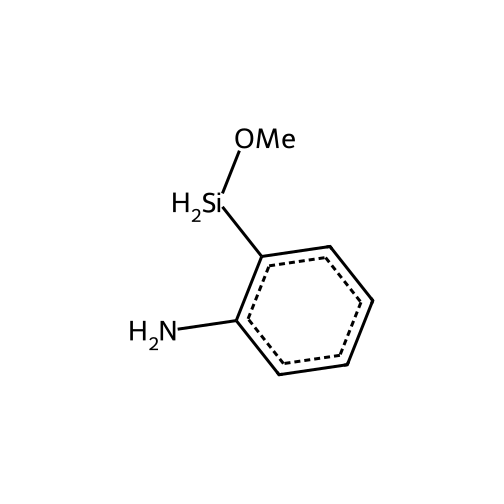 CO[SiH2]c1ccccc1N